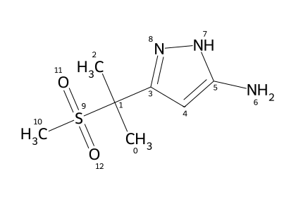 CC(C)(c1cc(N)[nH]n1)S(C)(=O)=O